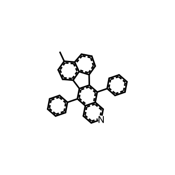 Cc1ccc2c3c(cccc13)-c1c-2c(-c2ccccc2)c2ccncc2c1-c1ccccc1